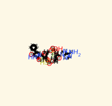 Nc1ncnc2c1ncn2[C@@H]1O[C@@H]2COP(=O)(S)O[C@H]3C(F)[C@H](n4cc(-c5ccccc5)c(=O)[nH]c4=O)O[C@@H]3COP(=O)(O)O[C@@H]1[C@@H]2F